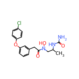 CC(CN(O)C(=O)Cc1cccc(Oc2ccc(Cl)cc2)c1)NC(N)=O